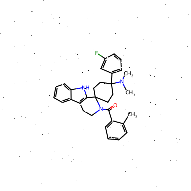 Cc1ccccc1C(=O)N1CCc2c([nH]c3ccccc23)C12CCC(c1cccc(F)c1)(N(C)C)CC2